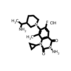 Cc1c(N2CCCC(C(C)N)C2)c(F)cc2c(=O)n(N)c(=O)n(C3CC3)c12.Cl